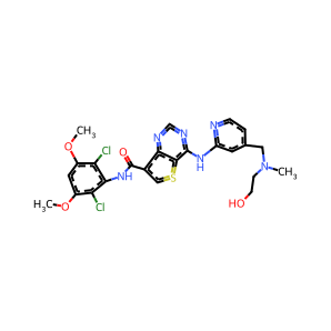 COc1cc(OC)c(Cl)c(NC(=O)c2csc3c(Nc4cc(CN(C)CCO)ccn4)ncnc23)c1Cl